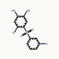 O=S(=O)(c1cccc(Cl)c1)c1cc(O)c(O)cc1Cl